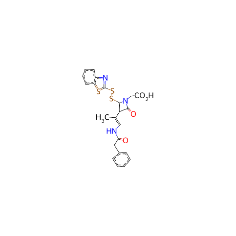 CC(=CNC(=O)Cc1ccccc1)C1C(=O)N(CC(=O)O)C1SSc1nc2ccccc2s1